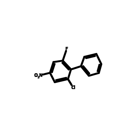 O=[N+]([O-])c1cc(F)c(-c2ccccc2)c(Cl)c1